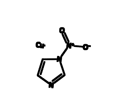 O=[N+]([O-])n1ccnc1.[Cu]